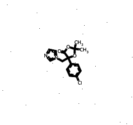 CC1(C)OC(=O)C(Cn2ccnc2)(c2ccc(Cl)cc2)O1